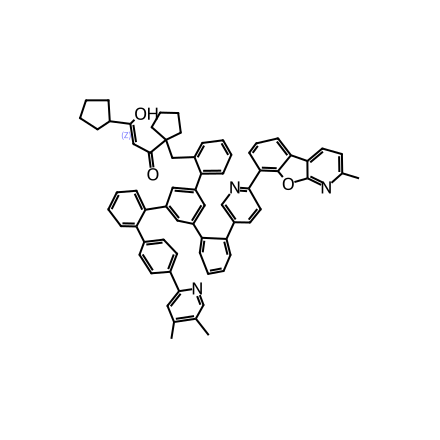 Cc1ccc2c(n1)oc1c(-c3ccc(-c4ccccc4-c4cc(-c5ccccc5CC5(C(=O)/C=C(\O)C6CCCC6)CCCC5)cc(-c5ccccc5-c5ccc(-c6cc(C)c(C)cn6)cc5)c4)cn3)cccc12